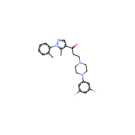 Cc1ccccc1-n1ncc(C(=O)CCN2CCN(c3cc(F)cc(F)c3)CC2)c1C